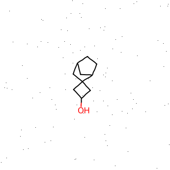 OC1CC2(C1)CC1CCC2C1